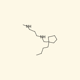 CCCCC1(CNCCCNC)CCCC1